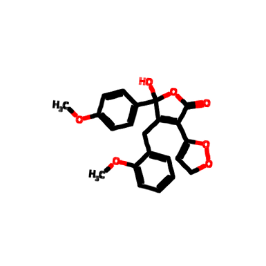 COc1ccc(C2(O)OC(=O)C(C3=CCOO3)=C2Cc2ccccc2OC)cc1